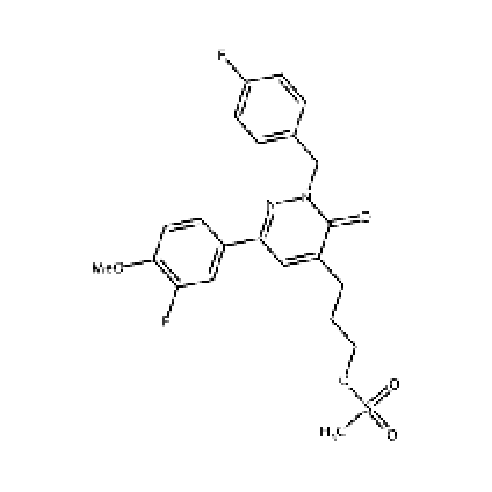 COc1ccc(-c2cc(CCCOS(C)(=O)=O)c(=O)n(Cc3ccc(F)cc3)n2)cc1F